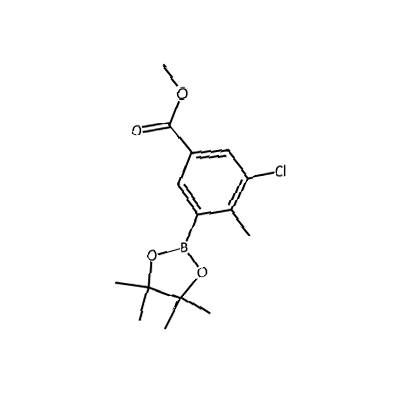 COC(=O)c1cc(Cl)c(C)c(B2OC(C)(C)C(C)(C)O2)c1